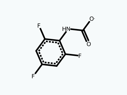 [O]C(=O)Nc1c(F)cc(F)cc1F